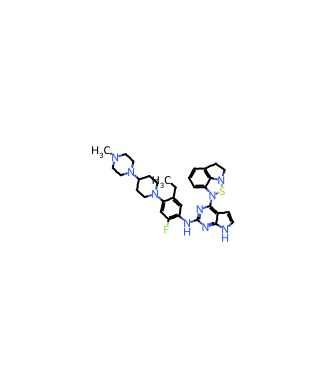 CCc1cc(Nc2nc(N3SN4CCc5cccc3c54)c3cc[nH]c3n2)c(F)cc1N1CCC(N2CCN(C)CC2)CC1